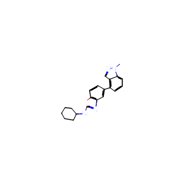 Cn1ncc2c(-c3ccc4oc(NC5CCCCC5)nc4c3)cccc21